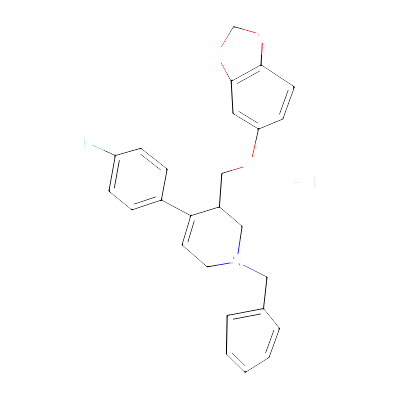 Cl.Fc1ccc(C2=CCN(Cc3ccccc3)CC2COc2ccc3c(c2)OCO3)cc1